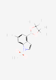 Cc1cc(B2OC(C)(C)C(C)(C)O2)c2ccn(S(C)(=O)=O)c2c1